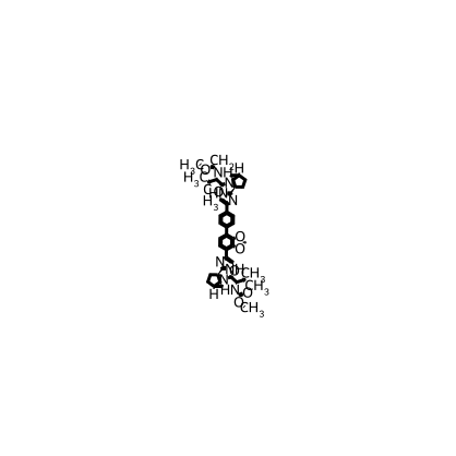 C=C(N[C@H](C(=O)N1C[C@@H]2CC[C@@]1(c1nc(-c3ccc(-c4ccc(-c5c[nH]c([C@@]67CC[C@@H](CN6C(=O)[C@@H](NC(=O)OC)C(C)C)C7)n5)c5c4OCO5)cc3)c[nH]1)C2)C(C)C)OC